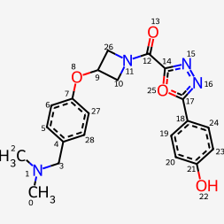 CN(C)Cc1ccc(OC2CN(C(=O)c3nnc(-c4ccc(O)cc4)o3)C2)cc1